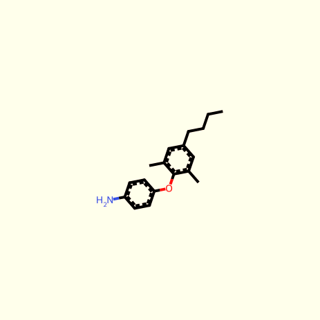 CCCCc1cc(C)c(Oc2ccc(N)cc2)c(C)c1